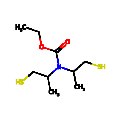 CCOC(=O)N(C(C)CS)C(C)CS